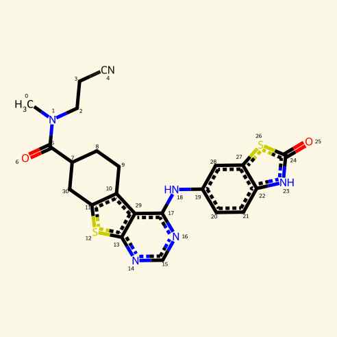 CN(CCC#N)C(=O)C1CCc2c(sc3ncnc(Nc4ccc5[nH]c(=O)sc5c4)c23)C1